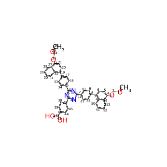 COCOc1ccc(-c2ccc(-c3nc(-c4ccc(-c5ccc(OCOC)c6ccccc56)cc4)nc(-c4ccc(C(O)O)cc4)n3)cc2)c2ccccc12